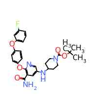 CC(C)(C)OC(=O)N1CCC(Nc2cnc(Oc3ccc(Oc4cccc(F)c4)cc3)c(C(N)=O)c2)CC1